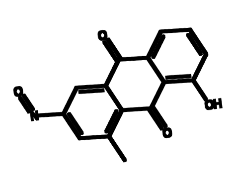 Cc1cc(N=O)cc2c1C(=O)c1c(O)cccc1C2=O